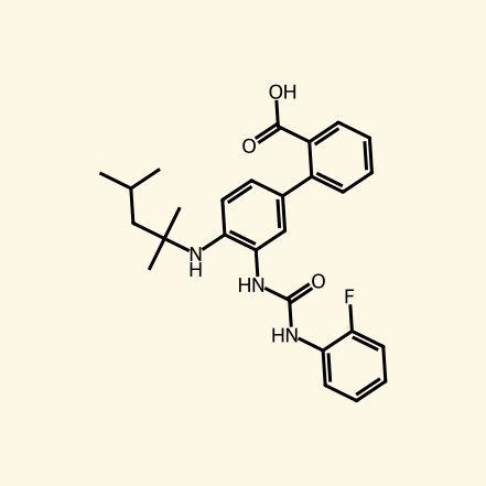 CC(C)CC(C)(C)Nc1ccc(-c2ccccc2C(=O)O)cc1NC(=O)Nc1ccccc1F